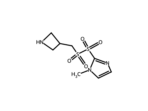 Cn1ccnc1S(=O)(=O)S(=O)(=O)CC1CNC1